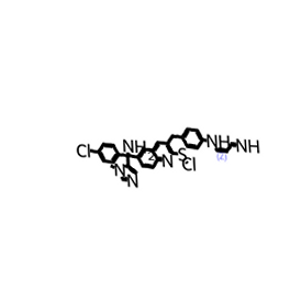 Cn1cncc1C(N)(c1ccc(Cl)cc1)c1ccc2nc(SCl)c(Cc3ccc(N/C=C\C=N)cc3)cc2c1